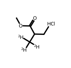 Cl.[2H]C([2H])([2H])C(CC)C(=O)OC